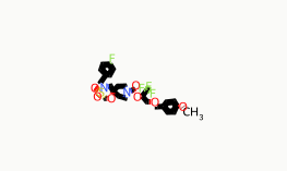 COc1ccc(COCC(OC(=O)N2CCC3(CC2)CN(Cc2ccc(F)cc2)S(=O)(=O)CO3)C(F)(F)F)cc1